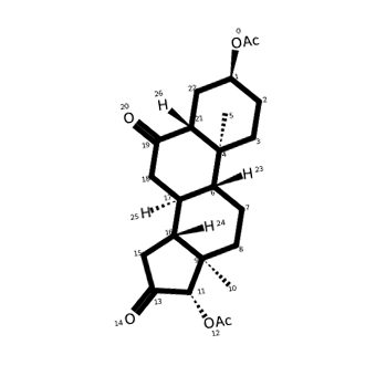 CC(=O)O[C@H]1CC[C@@]2(C)[C@@H]3CC[C@@]4(C)[C@H](OC(C)=O)C(=O)C[C@@H]4[C@H]3CC(=O)[C@@H]2C1